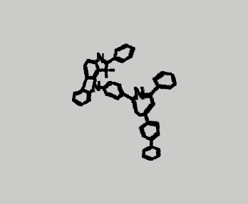 CC1(C)C(c2ccccc2)=Nc2ccc3c4ccccc4n(-c4ccc(-c5cc(-c6ccc(-c7ccccc7)cc6)cc(-c6ccccc6)n5)cc4)c3c21